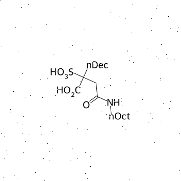 CCCCCCCCCCC(CC(=O)NCCCCCCCC)(C(=O)O)S(=O)(=O)O